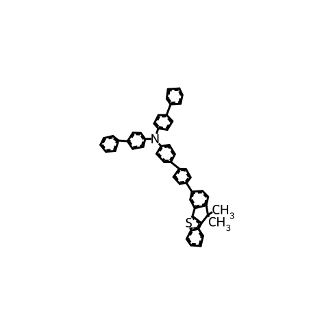 CC1(C)c2ccc(-c3ccc(-c4ccc(N(c5ccc(-c6ccccc6)cc5)c5ccc(-c6ccccc6)cc5)cc4)cc3)cc2-c2sc3ccccc3c21